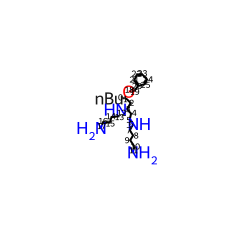 CCCCC(CC(CCNCCCCN)NCCCCN)OCc1ccccc1